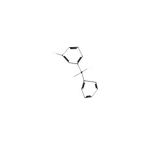 [CH2]CC(C)(c1ccccc1)c1cccc(N)c1